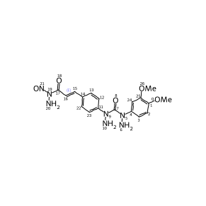 COc1ccc(N(N)C(=O)N(N)c2ccc(/C=C/C(=O)N(N)N=O)cc2)cc1OC